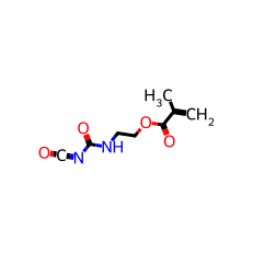 C=C(C)C(=O)OCCNC(=O)N=C=O